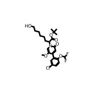 COc1cn(C(CCCCCCO)C(=O)OC(C)(C)C)c(=O)cc1-c1cc(Cl)ccc1OC(F)F